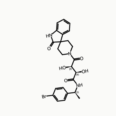 C[C@H](NC(=O)[C@H](O)[C@@H](O)C(=O)N1CCC2(CC1)C(=O)Nc1ccccc12)c1ccc(Br)cc1